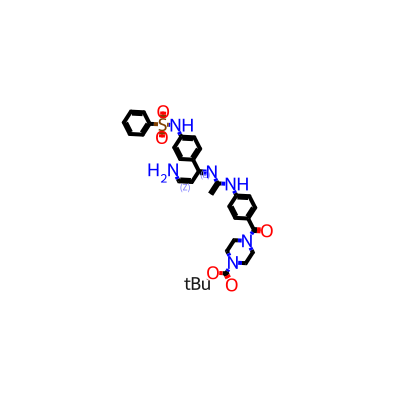 C=C(/N=C(\C=C/N)c1ccc(NS(=O)(=O)c2ccccc2)cc1)Nc1ccc(C(=O)N2CCN(C(=O)OC(C)(C)C)CC2)cc1